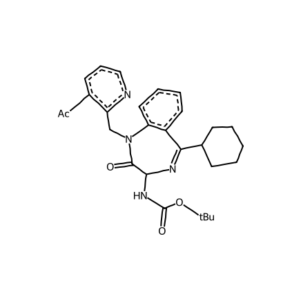 CC(=O)c1cccnc1CN1C(=O)C(NC(=O)OC(C)(C)C)N=C(C2CCCCC2)c2ccccc21